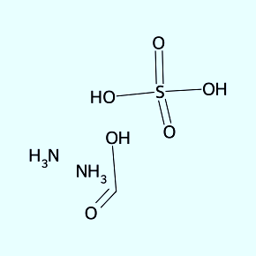 N.N.O=CO.O=S(=O)(O)O